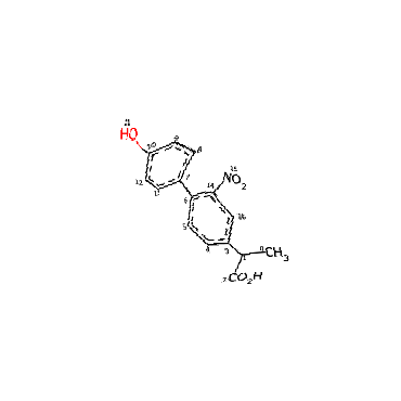 CC(C(=O)O)c1ccc(-c2ccc(O)cc2)c([N+](=O)[O-])c1